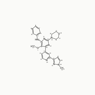 COc1c(Nc2cccnc2)nc(N2CCOCC2)nc1-c1ccnc(-c2ccn(C)n2)c1